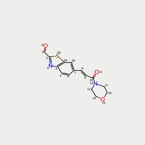 O=Cc1nc2ccc(/C=C/C(=O)N3CCOCC3)cc2s1